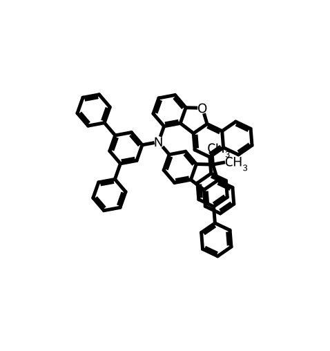 CC1(C)c2ccccc2-c2ccc(N(c3cc(-c4ccccc4)cc(-c4ccccc4)c3)c3cccc4oc5c6ccccc6c(-c6ccc(-c7ccccc7)cc6)cc5c34)cc21